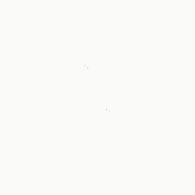 CCCS(=O)(=O)N1CCC(N2COCc3ccccc32)CC1